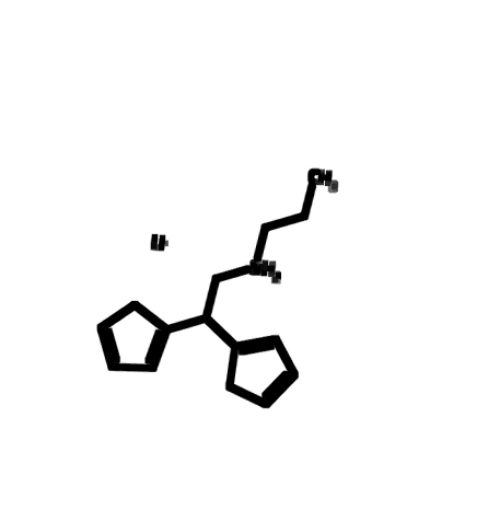 CCC[SiH2]CC(C1=CC=CC1)C1=CC=CC1.[Li]